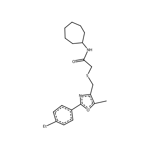 CCc1ccc(-c2nc(CSCC(=O)NC3CCCCCC3)c(C)o2)cc1